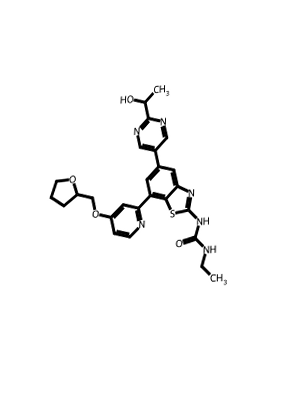 CCNC(=O)Nc1nc2cc(-c3cnc(C(C)O)nc3)cc(-c3cc(OCC4CCCO4)ccn3)c2s1